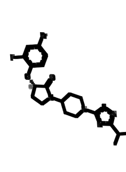 CC(C)c1nsc(N2CCC(N3CC[C@H](Oc4ccc(Br)cc4F)C3=O)CC2)n1